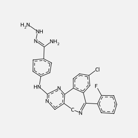 NN/N=C(\N)c1ccc(Nc2ncc3c(n2)-c2ccc(Cl)cc2C(c2ccccc2F)=NC3)cc1